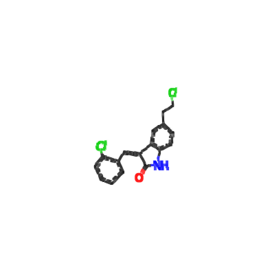 O=C1Nc2ccc(CCCl)cc2C1=Cc1ccccc1Cl